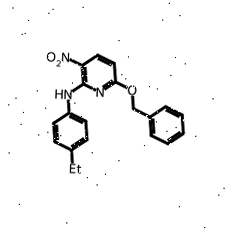 CCc1ccc(Nc2nc(OCc3ccccc3)ccc2[N+](=O)[O-])cc1